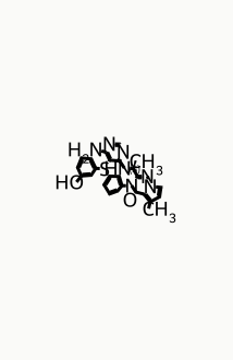 Cc1ccn2nc([C@H](C)Nc3ncnc(N)c3Sc3cccc(O)c3)n(-c3ccccc3)c(=O)c12